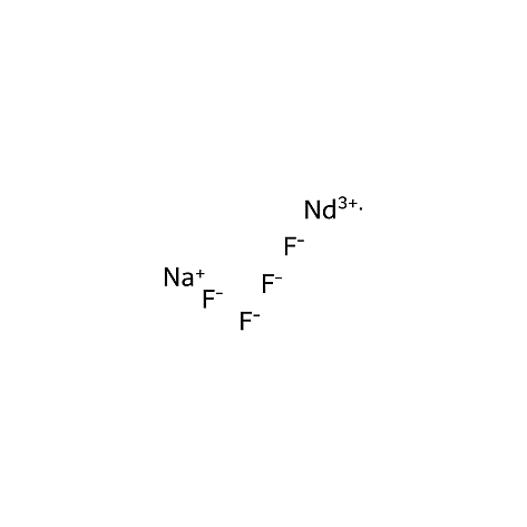 [F-].[F-].[F-].[F-].[Na+].[Nd+3]